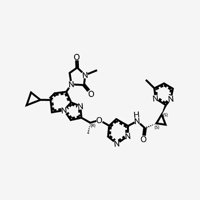 Cc1ccnc([C@H]2C[C@@H]2C(=O)Nc2cc(O[C@H](C)c3cn4cc(C5CC5)cc(N5CC(=O)N(C)C5=O)c4n3)cnn2)n1